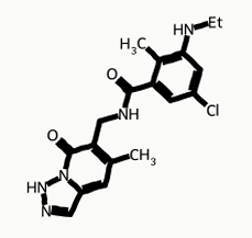 CCNc1cc(Cl)cc(C(=O)NCc2c(C)cc3cn[nH]n3c2=O)c1C